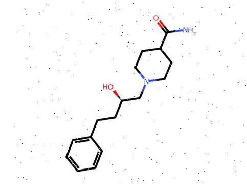 NC(=O)C1CCN(C[C@H](O)CCc2ccccc2)CC1